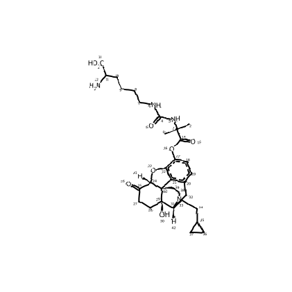 CC(C)(NC(=O)NCCCCC(N)C(=O)O)C(=O)Oc1ccc2c3c1O[C@H]1C(=O)CC[C@@]4(O)[C@@H](C2)N(CC2CC2)CC[C@]314